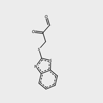 O=[C]C(=O)CSc1nc2ccccc2s1